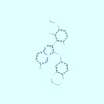 COc1ccc2nc(-c3c(F)ccc(OCF)c3Cl)c(Nc3ccc4c(c3)O[C@@H](C)CO4)n2c1